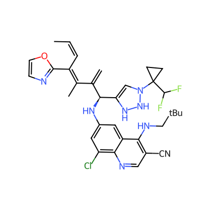 C=C(/C(C)=C(\C=C/C)c1ncco1)[C@H](Nc1cc(Cl)c2ncc(C#N)c(NCC(C)(C)C)c2c1)C1=CN(C2(C(F)F)CC2)NN1